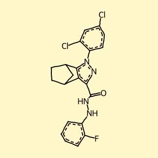 O=C(NNc1ccccc1F)c1nn(-c2ccc(Cl)cc2Cl)c2c1C1CCC2C1